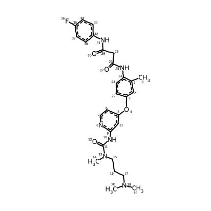 Cc1cc(Oc2ccnc(NC(=O)N(C)CCCN(C)C)c2)ccc1NC(=O)CC(=O)Nc1ccc(F)cc1